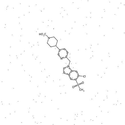 CS(=O)(=O)c1cc2ccn(Cc3ccc(C4CCN(C(=O)O)CC4)cn3)c2cc1Cl